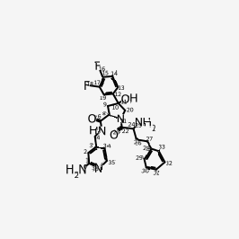 Nc1cc(CNC(=O)C2CC(O)(c3ccc(F)c(F)c3)CN2C(=O)C(N)CCc2ccccc2)ccn1